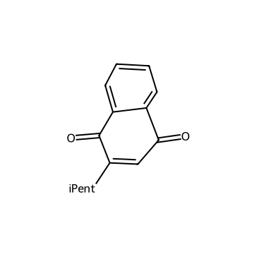 CCCC(C)C1=CC(=O)c2ccccc2C1=O